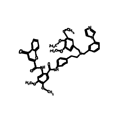 COc1cc(NC(=O)c2cc(=O)c3ccccc3o2)c(C(=O)Nc2ccc(CCN(Cc3cccc(-n4ccnc4)c3)Cc3cc(OC)c(OC)c(OC)c3)cc2)cc1OC